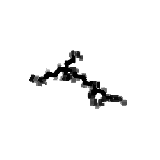 CCCCC(C)(CCC)OCCCNC(=O)CN(C)C